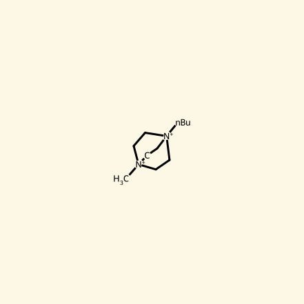 CCCC[N+]12CC[N+](C)(CC1)CC2